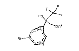 OC(O)(c1cncc(Br)c1)C(F)(F)F